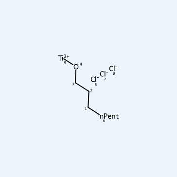 CCCCCCCC[O][Ti+3].[Cl-].[Cl-].[Cl-]